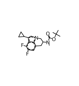 CN(C(=O)OC(C)(C)C)C1Cc2cc(F)c(F)c3c(C4CC4)cn(c23)C1